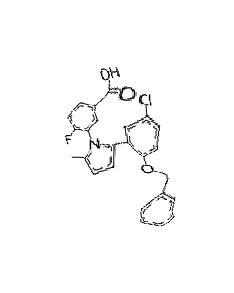 Cc1ccc(-c2cc(Cl)ccc2OCc2ccccc2)n1-c1cc(C(=O)O)ccc1F